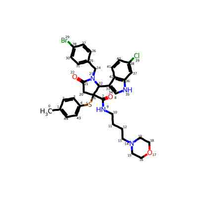 Cc1ccc(SC2(C(=O)NCCCCN3CCOCC3)CC(=O)N(Cc3ccc(Br)cc3)C2c2c[nH]c3cc(Cl)ccc23)cc1